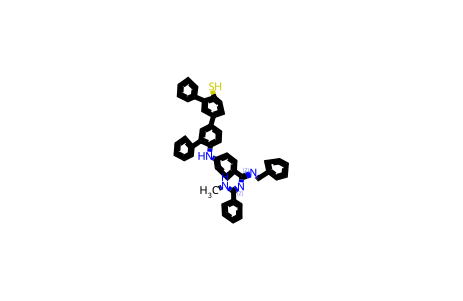 CN/C(=N\C(=N/Cc1ccccc1)c1ccc(Nc2ccc(-c3ccc(S)c(-c4ccccc4)c3)cc2-c2ccccc2)cc1)c1ccccc1